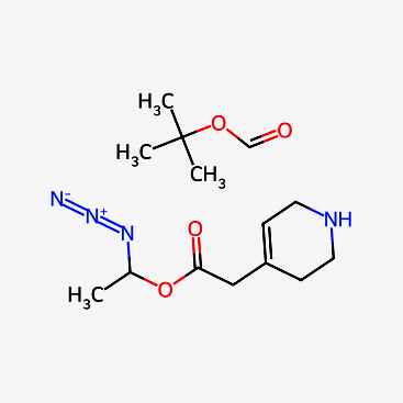 CC(C)(C)OC=O.CC(N=[N+]=[N-])OC(=O)CC1=CCNCC1